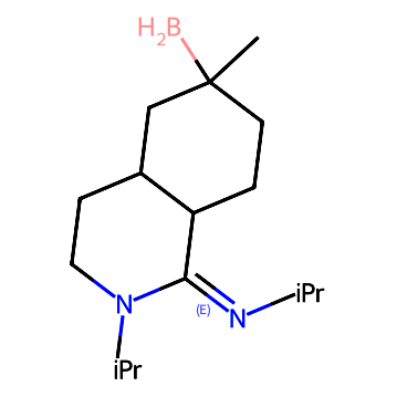 BC1(C)CCC2/C(=N\C(C)C)N(C(C)C)CCC2C1